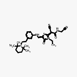 CCn1c(=C(C#N)C(=O)NCC#N)sc(=CNc2cccc(CCN3C(C)(C)CCCC3(C)C)c2)c1=O